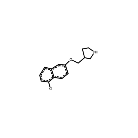 Clc1cccc2cc(OCC3CCNC3)ccc12